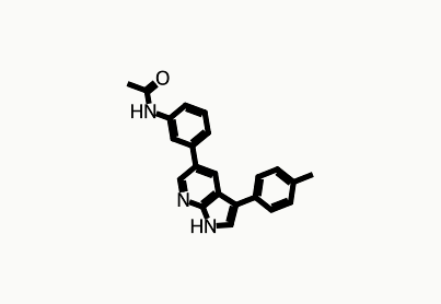 CC(=O)Nc1cccc(-c2cnc3[nH]cc(-c4ccc(C)cc4)c3c2)c1